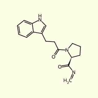 C=NC(=O)[C@@H]1CCCN1C(=O)CCc1c[nH]c2ccccc12